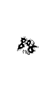 CC(Oc1ccc([SH]2c3ccccc3-c3ccccc32)cc1)c1ccc(O)cc1